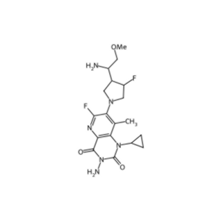 COCC(N)C1CN(c2c(F)nc3c(=O)n(N)c(=O)n(C4CC4)c3c2C)CC1F